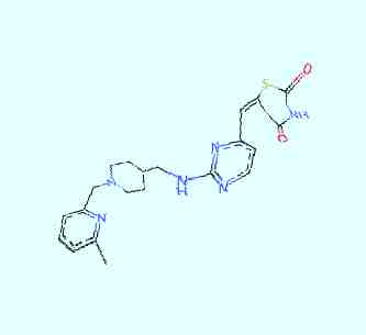 Cc1cccc(CN2CCC(CNc3nccc(C=C4SC(=O)NC4=O)n3)CC2)n1